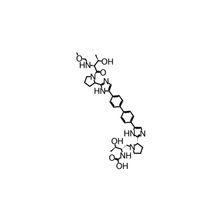 COCN[C@H](C(=O)N1CCCC1c1ncc(-c2ccc(-c3ccc(-c4cnc([C@@H]5CCCN5C[C@H](NC(=O)O)[C@@H](C)O)[nH]4)cc3)cc2)[nH]1)[C@@H](C)O